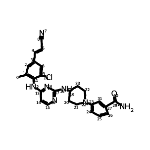 Cc1cc(/C=C/C#N)cc(Cl)c1Nc1ccnc(NC2CCN(c3cccc(C(N)=O)c3)CC2)n1